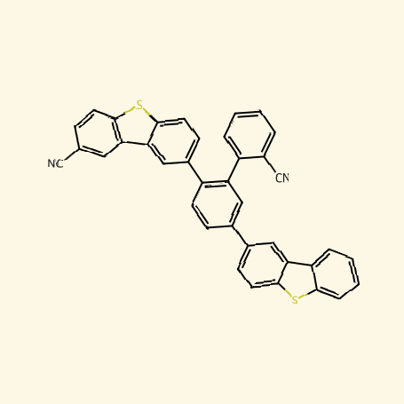 N#Cc1ccc2sc3ccc(-c4ccc(-c5ccc6sc7ccccc7c6c5)cc4-c4ccccc4C#N)cc3c2c1